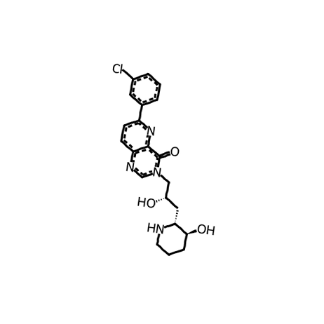 O=c1c2nc(-c3cccc(Cl)c3)ccc2ncn1C[C@@H](O)C[C@H]1NCCC[C@@H]1O